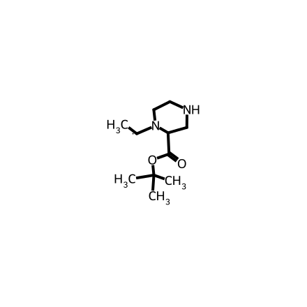 C[CH]N1CCNCC1C(=O)OC(C)(C)C